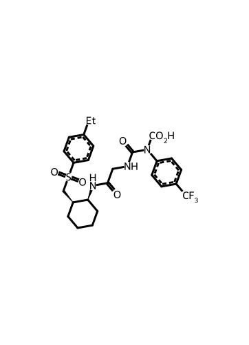 CCc1ccc(S(=O)(=O)C[C@@H]2CCCC[C@@H]2NC(=O)CNC(=O)N(C(=O)O)c2ccc(C(F)(F)F)cc2)cc1